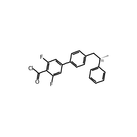 C[C@@H](Cc1ccc(-c2cc(F)c(C(=O)Cl)c(F)c2)cc1)c1ccccc1